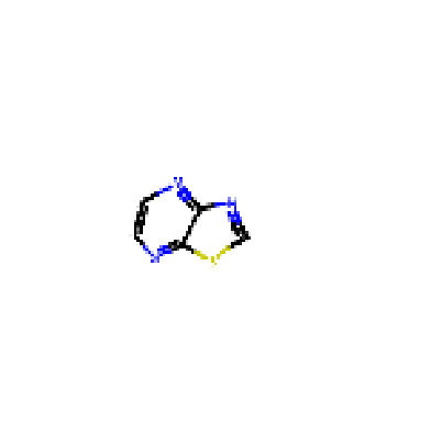 [c]1cnc2ncsc2n1